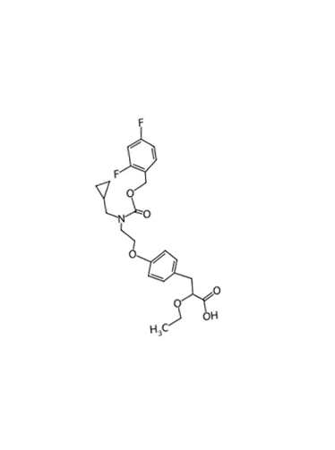 CCOC(Cc1ccc(OCCN(CC2CC2)C(=O)OCc2ccc(F)cc2F)cc1)C(=O)O